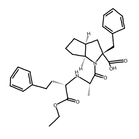 CCOC(=O)[C@H](CCc1ccccc1)N[C@@H](C)C(=O)N1[C@H]2CCC[C@H]2C[C@]1(Cc1ccccc1)C(=O)O